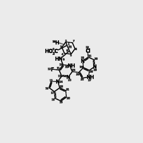 O=C(O)[C@H]1C2CCC(CC2)C1NC1=C(F)C(n2ccc3ccccc32)=NC(c2c[nH]c3ncc(Cl)nc23)N1